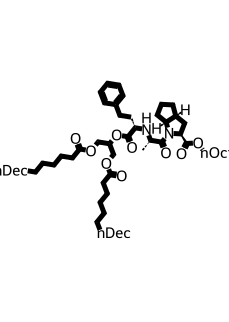 CCCCCCCCCCCCCCCC(=O)OCC(COC(=O)CCCCCCCCCCCCCCC)OC(=O)[C@H](CCc1ccccc1)N[C@@H](C)C(=O)N1[C@H](C(=O)OCCCCCCCC)C[C@@H]2CCC[C@@H]21